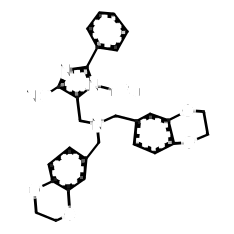 CCCCn1c(-c2ccccc2)nc(C#N)c1CN(Cc1ccc2c(c1)OCCO2)Cc1ccc2c(c1)OCCO2